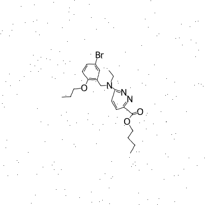 CCCCOC(=O)c1ccc(N(CC)Cc2cc(Br)ccc2OCCC)nn1